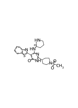 CS(=O)(=O)N1CCC(c2nc(N[C@@H]3CCCNC3)c(-c3nc4ccccc4s3)c(=O)[nH]2)CC1